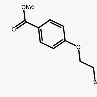 COC(=O)c1ccc(OCCBr)cc1